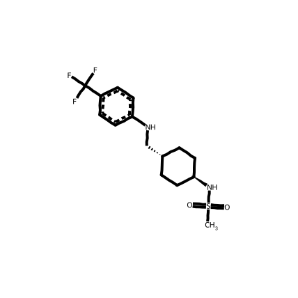 CS(=O)(=O)N[C@H]1CC[C@H](CNc2ccc(C(F)(F)F)cc2)CC1